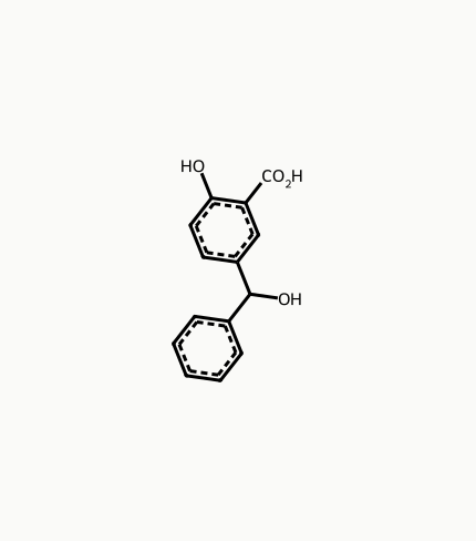 O=C(O)c1cc(C(O)c2ccccc2)ccc1O